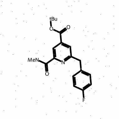 CNC(=O)c1cc(C(=O)OC(C)(C)C)cc(Cc2ccc(F)cc2)n1